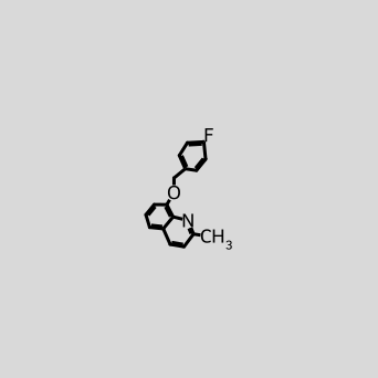 Cc1ccc2cccc(OCc3ccc(F)cc3)c2n1